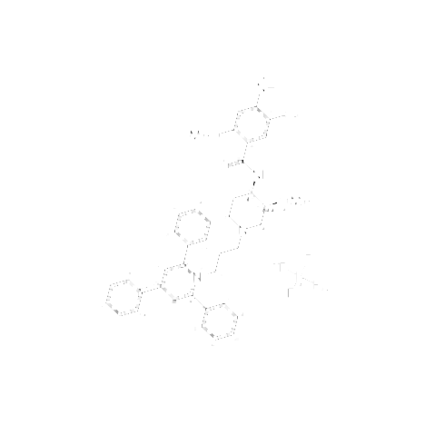 COc1cc(N)c(Cl)cc1C(=O)N[C@@H]1CCN(CCC[n+]2c(-c3ccccc3)cc(-c3ccccc3)cc2-c2ccccc2)C[C@@H]1OC.F[B-](F)(F)F